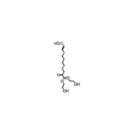 CCCCCCCCC=CCCCCCCCC(=O)N(OCCO)OCCO